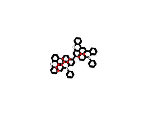 c1ccc(-c2ccccc2N(c2ccccc2)c2ccc(-c3cc4c5c(cc(-c6ccccc6N(c6ccccc6)c6ccccc6)cc5c3)-c3ccccc3O4)cc2-c2cc3c4c(cccc4c2)Oc2ccccc2-3)cc1